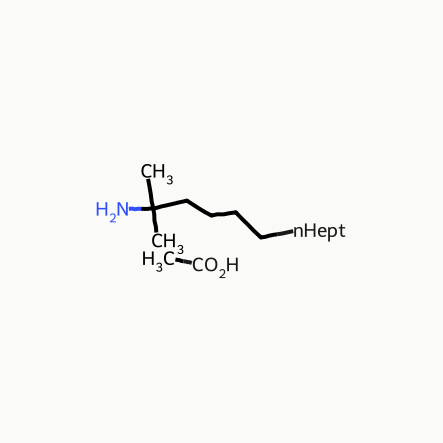 CC(=O)O.CCCCCCCCCCCC(C)(C)N